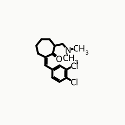 CN(C)CC1CCCC/C(=C/c2ccc(Cl)c(Cl)c2)C1=O